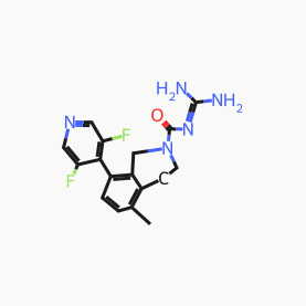 Cc1ccc(-c2c(F)cncc2F)c2c1CCN(C(=O)N=C(N)N)C2